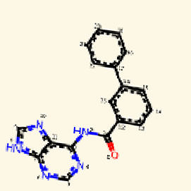 O=C(Nc1ncnc2[nH]cnc12)c1cccc(-c2ccccc2)c1